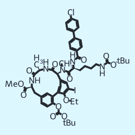 CCOc1c(I)cc2cc1-c1cc(ccc1OC(=O)OC(C)(C)C)C[C@@H](C(=O)OC)NC(=O)[C@H](C)NC(=O)[C@H]2N(C)C(=O)[C@H](CCCCNC(=O)OC(C)(C)C)NC(=O)c1ccc(-c2ccc(Cl)cc2)cc1